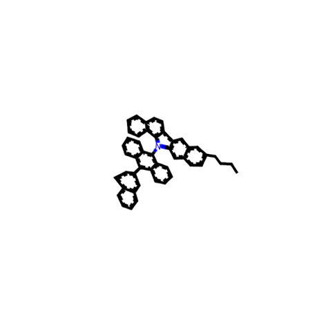 CCCCc1ccc2cc3c(cc2c1)c1ccc2ccccc2c1n3-c1c2ccccc2c(-c2ccc3ccccc3c2)c2ccccc12